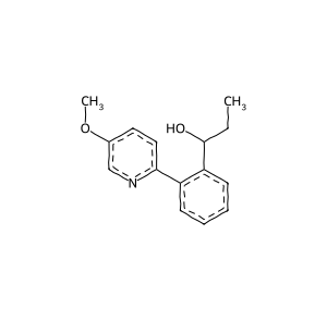 CCC(O)c1ccccc1-c1ccc(OC)cn1